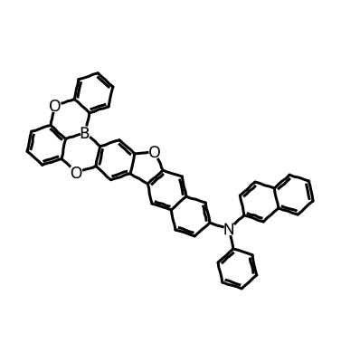 c1ccc(N(c2ccc3ccccc3c2)c2ccc3cc4c(cc3c2)oc2cc3c(cc24)Oc2cccc4c2B3c2ccccc2O4)cc1